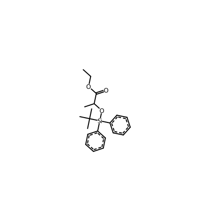 CCOC(=O)C(C)O[Si](c1ccccc1)(c1ccccc1)C(C)(C)C